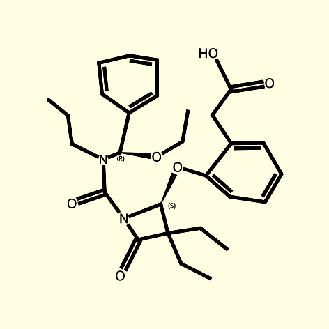 CCCN(C(=O)N1C(=O)C(CC)(CC)[C@@H]1Oc1ccccc1CC(=O)O)[C@H](OCC)c1ccccc1